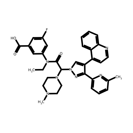 CCN(C(=O)C(N1CCN(C)CC1)n1cc(-c2ccnc3ccccc23)c(-c2cccc(C)n2)n1)c1cc(F)cc(C(=O)O)c1